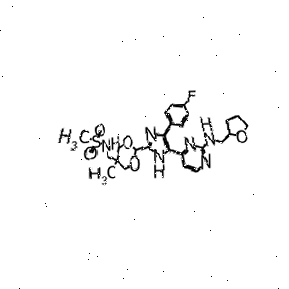 CC1(CNS(C)(=O)=O)COC(c2nc(-c3ccc(F)cc3)c(-c3ccnc(NCC4CCCO4)n3)[nH]2)OC1